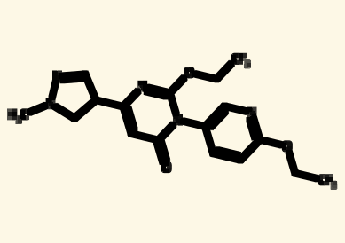 CN1CC(c2cc(=O)n(-c3ccc(OCC(F)(F)F)nc3)c(OCC(F)(F)F)n2)C=N1